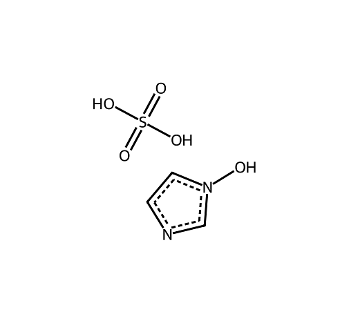 O=S(=O)(O)O.On1ccnc1